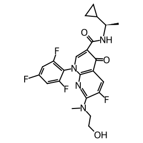 C[C@@H](NC(=O)c1cn(-c2c(F)cc(F)cc2F)c2nc(N(C)CCO)c(F)cc2c1=O)C1CC1